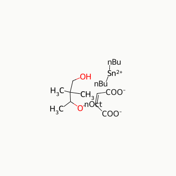 CCCCCCCCOC(C)C(C)(C)CO.CCC[CH2][Sn+2][CH2]CCC.O=C([O-])/C=C\C(=O)[O-]